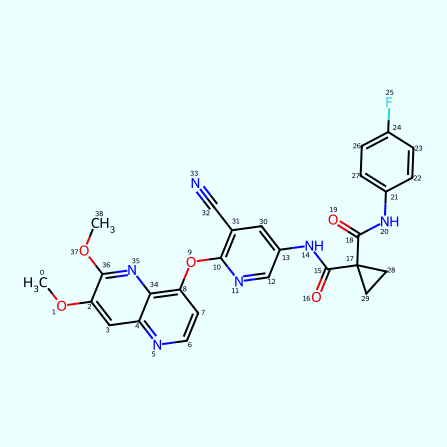 COc1cc2nccc(Oc3ncc(NC(=O)C4(C(=O)Nc5ccc(F)cc5)CC4)cc3C#N)c2nc1OC